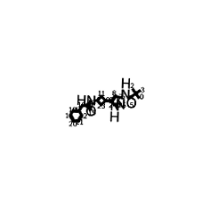 CC(C)(C)C(=O)Nc1cc(C2CC(NC(=O)Cc3ccccc3)C2)[nH]n1